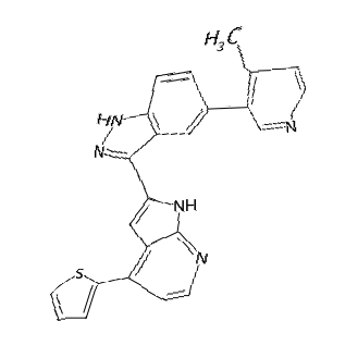 Cc1ccncc1-c1ccc2[nH]nc(-c3cc4c(-c5cccs5)ccnc4[nH]3)c2c1